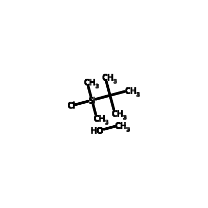 CC(C)(C)[Si](C)(C)Cl.CO